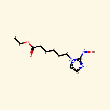 CCOC(=O)CCCCCn1ccnc1N=O